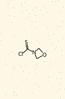 S=C(Cl)N1COC1